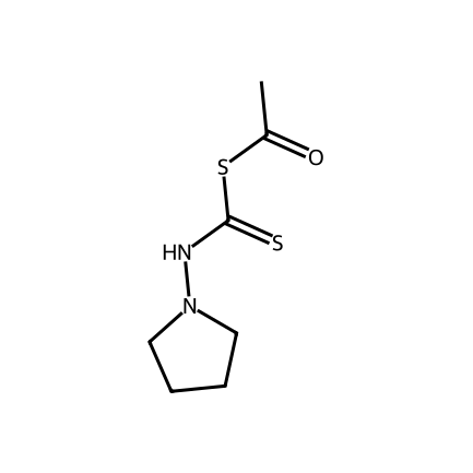 CC(=O)SC(=S)NN1CCCC1